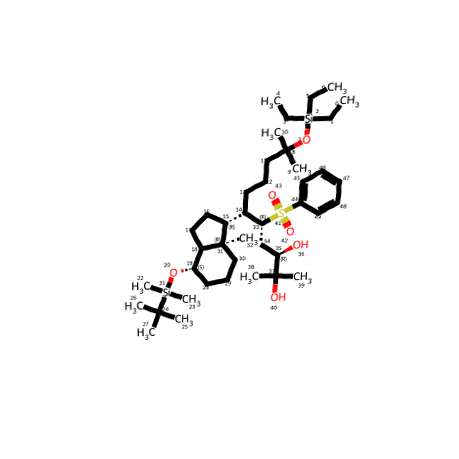 CC[Si](CC)(CC)OC(C)(C)CCCC([C@H]1CCC2[C@@H](O[Si](C)(C)C(C)(C)C)CCC[C@@]21C)[C@@H](C[C@@H](O)C(C)(C)O)S(=O)(=O)c1ccccc1